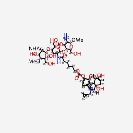 CO[C@@H]1OC(CO)[C@@H](O[C@@H]2OC(CO)[C@@H](O[C@@H]3OC(CO)[C@@H](OC)[C@H](O)C3NC(C)=O)[C@H](O)C2NC(=O)CCCCCOC(=O)Oc2ccc3c4c2O[C@H]2C(O)=CC[C@@]5(O)[C@@H](C3)N(CC3CC3)CC[C@]425)[C@H](O)C1N